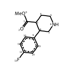 COC(=O)C1CCNCC1c1ccc(F)cc1